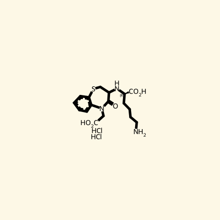 Cl.Cl.NCCCC[C@@H](NC1CSc2ccccc2N(CC(=O)O)C1=O)C(=O)O